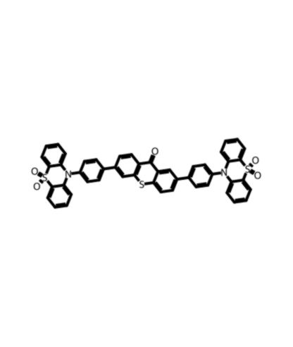 O=c1c2ccc(-c3ccc(N4c5ccccc5S(=O)(=O)c5ccccc54)cc3)cc2sc2ccc(-c3ccc(N4c5ccccc5S(=O)(=O)c5ccccc54)cc3)cc12